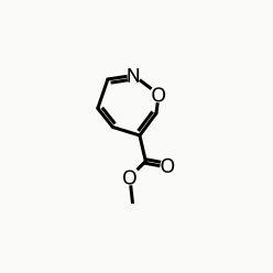 COC(=O)C1=CON=CC=C1